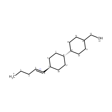 CCC/C=C/[C@H]1CC[C@H](C2CCC(CO)CC2)CC1